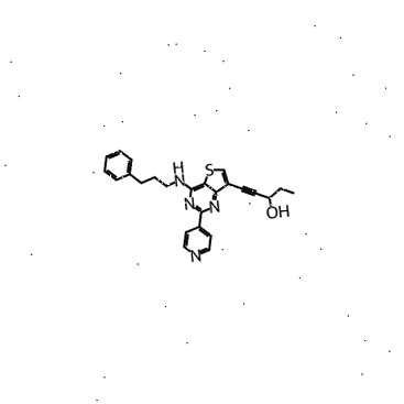 CCC(O)C#Cc1csc2c(NCCCc3ccccc3)nc(-c3ccncc3)nc12